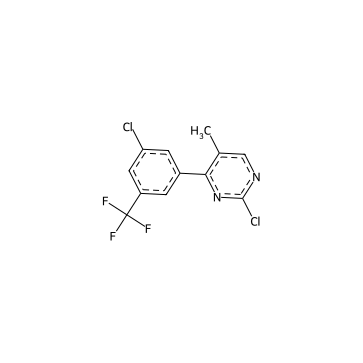 Cc1cnc(Cl)nc1-c1cc(Cl)cc(C(F)(F)F)c1